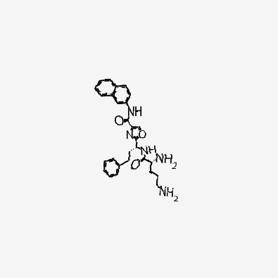 NCCC[C@@H](N)C(=O)N[C@H](CCc1ccccc1)c1nc(C(=O)Nc2ccc3ccccc3c2)co1